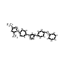 FC(F)(F)c1cc(C(F)(F)F)n(-c2ccc(-n3cc(-c4ccc(Oc5ccccc5)cc4)nn3)cc2)n1